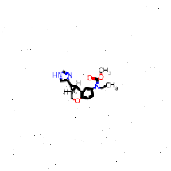 CCN(C(=O)OC)c1ccc2c(c1)[C@H]1C(c3c[nH]cn3)[C@H]1CO2